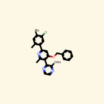 COc1nccnc1-c1c(OCc2ccccc2)cc(-c2cc(Cl)c(C(C)(C)C)cc2C)nc1C